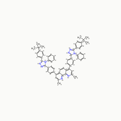 Cc1cc(-c2ccc(-c3nnc(-c4ccc(C(C)(C)C)cc4)n3-c3ccccc3)cc2)c2ccc3c(-c4ccc(-c5nnc(-c6ccc(C(C)(C)C)cc6)n5-c5ccccc5)cc4)cc(C)nc3c2n1